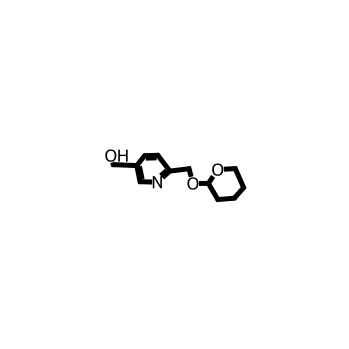 OCc1ccc(COC2CCCCO2)nc1